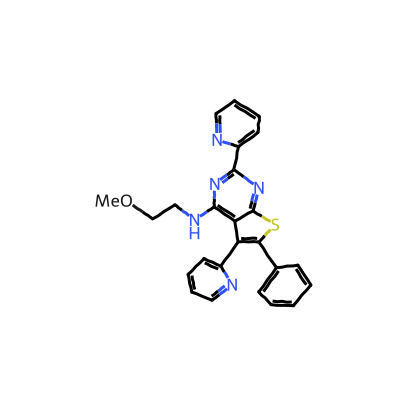 COCCNc1nc(-c2ccccn2)nc2sc(-c3ccccc3)c(-c3ccccn3)c12